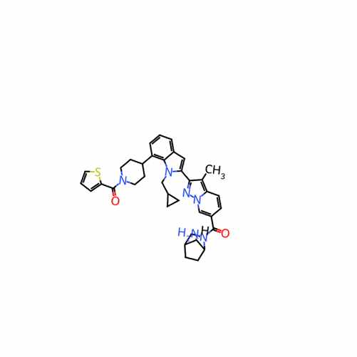 Cc1c(-c2cc3cccc(C4CCN(C(=O)c5cccs5)CC4)c3n2CC2CC2)nn2cc(C(=O)N3CC4CCC3[C@@H]4N)ccc12